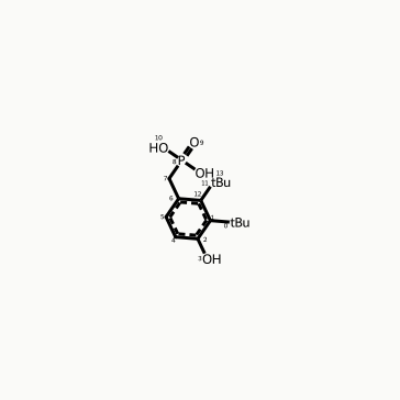 CC(C)(C)c1c(O)ccc(CP(=O)(O)O)c1C(C)(C)C